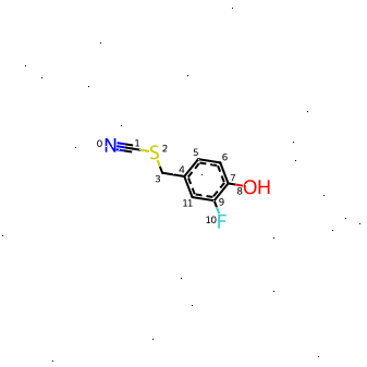 N#CSCc1ccc(O)c(F)c1